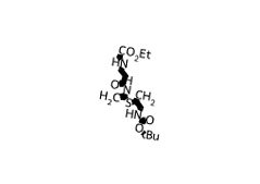 C=C(CNC(=O)OC(C)(C)C)SC(=C)NC(=O)CCNCC(=O)OCC